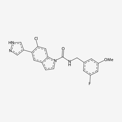 COc1cc(F)cc(CNC(=O)n2ccc3cc(-c4cn[nH]c4)c(Cl)cc32)c1